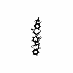 Cc1nc2cc3c(cc2s1)OC[C@@H](N1CCc2c(nn(Cc4ccccc4)c2Cl)C1=O)CN3C